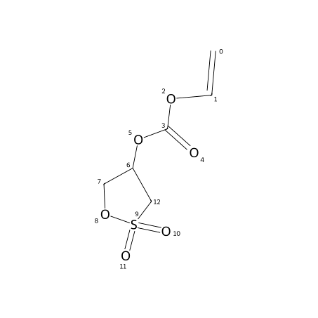 C=COC(=O)OC1COS(=O)(=O)C1